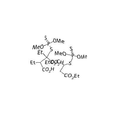 CCC(C(=O)O)C(CC)(SP(=S)(OC)OC)C(=O)O.CCOC(=O)CC(SP(=S)(OC)OC)C(=O)OCC